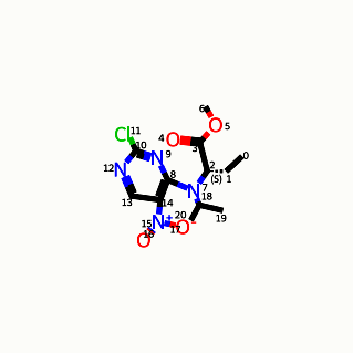 CC[C@@H](C(=O)OC)N(c1nc(Cl)ncc1[N+](=O)[O-])C(C)C